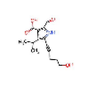 CC(C)c1c(C#CCCCO)[nH]c(C=O)c1C(=O)O